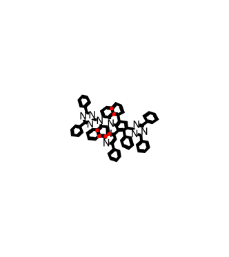 c1ccc(-c2cc(-c3c(-c4ccccc4)c(-c4nc(-c5ccccc5)nc(-c5ccccc5)n4)cc(-c4ccccc4)c3N3c4ccccc4N(c4nc(-c5ccccc5)nc(-c5ccccc5)n4)c4ccccc43)nc(-c3ccccc3)n2)cc1